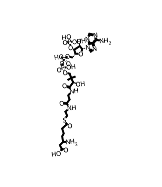 CC(C)(COP(=O)(O)OP(=O)(O)OC[C@H]1O[C@@H](n2cnc3c(N)ncnc32)[C@H](O)[C@@H]1OP(=O)(O)O)[C@@H](O)C(=O)NCCC(=O)NCCSC(=O)CCCC(N)CC(=O)O